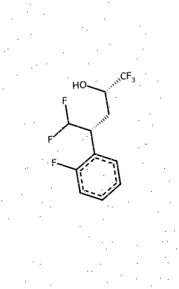 O[C@@H](C[C@H](c1ccccc1F)C(F)F)C(F)(F)F